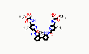 COC(=O)[C@@H](CO)NCc1cnc(C(=O)Nc2cccc(-c3cccc(NC(=O)c4cc(C)c(CN[C@H](CO)C(=O)OC)cn4)c3C)c2C)cc1C